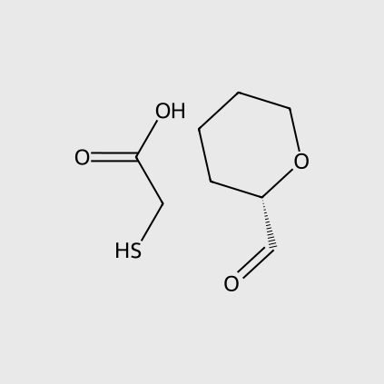 O=C(O)CS.O=C[C@@H]1CCCCO1